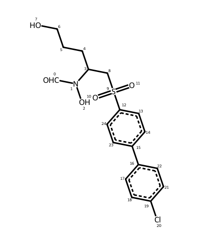 O=CN(O)C(CCCO)CS(=O)(=O)c1ccc(-c2ccc(Cl)cc2)cc1